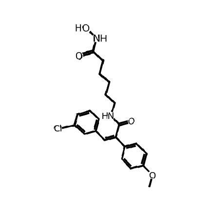 COc1ccc(/C(=C/c2cccc(Cl)c2)C(=O)NCCCCCC(=O)NO)cc1